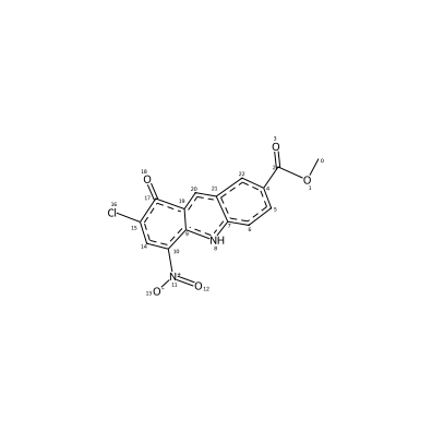 COC(=O)c1ccc2[nH]c3c([N+](=O)[O-])cc(Cl)c(=O)c-3cc2c1